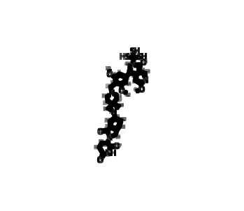 COc1cc2c(-c3cc(OC)c(CN4CCC5(CC4)CN(c4ccc6c(c4)C(=O)N(C4CCC(=O)NC4=O)C6)C5)c(OC)c3)cn(C(S)(S)S)c(=O)c2cn1